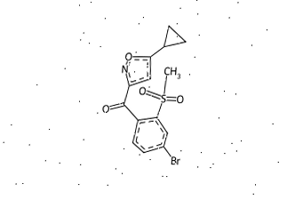 CS(=O)(=O)c1cc(Br)ccc1C(=O)c1cc(C2CC2)on1